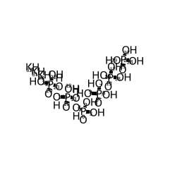 O=P(O)(O)O.O=P(O)(O)O.O=P(O)(O)O.O=P(O)(O)O.O=P(O)(O)O.O=P(O)(O)O.[KH].[KH].[KH]